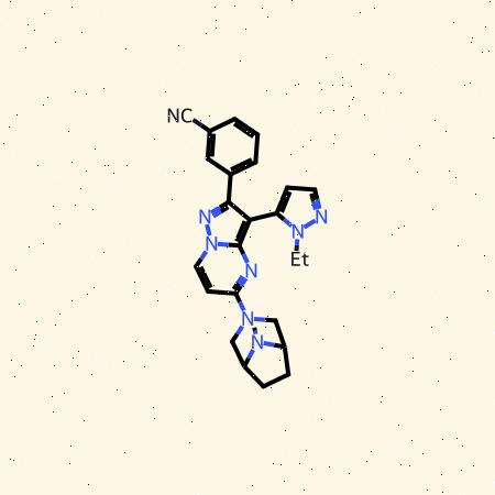 CCn1nccc1-c1c(-c2cccc(C#N)c2)nn2ccc(N3CC4CCC(C3)N4C)nc12